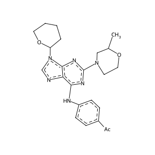 CC(=O)c1ccc(Nc2nc(N3CCOC(C)C3)nc3c2ncn3C2CCCCO2)cc1